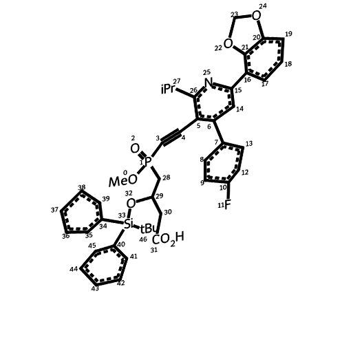 COP(=O)(C#Cc1c(-c2ccc(F)cc2)cc(-c2cccc3c2OCO3)nc1C(C)C)CC(CC(=O)O)O[Si](c1ccccc1)(c1ccccc1)C(C)(C)C